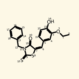 CCOc1cc(C=C2SC(=S)N(Cc3ccccc3)C2=O)ccc1O